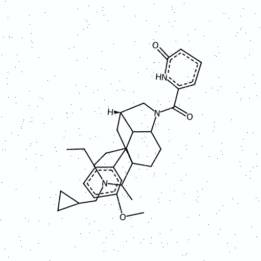 CCc1ccc(OC)cc1C12CCN(CC3CC3)C(C)C13CCC1C2[C@@H](CN1C(=O)c1cccc(=O)[nH]1)C3